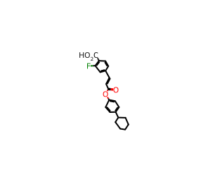 O=C(/C=C/c1ccc(C(=O)O)c(F)c1)Oc1ccc(C2CCCCC2)cc1